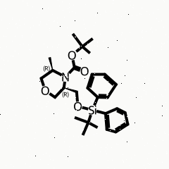 C[C@@H]1COC[C@H](CO[Si](c2ccccc2)(c2ccccc2)C(C)(C)C)N1C(=O)OC(C)(C)C